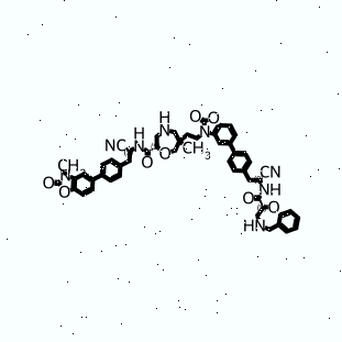 Cn1c(=O)oc2ccc(-c3ccc(C[C@@H](C#N)NC(=O)[C@@H]4CNCC(C)(CCn5c(=O)oc6ccc(-c7ccc(C[C@@H](C#N)NC(=O)[C@@H]8CNCc9ccccc9O8)cc7)cc65)CO4)cc3)cc21